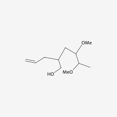 C=CCC(CO)CC(OC)C(C)OC